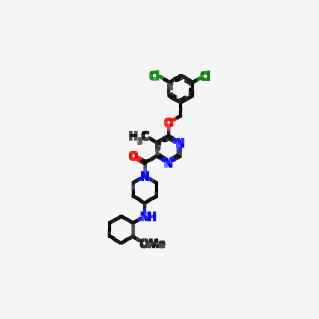 COC1CCCCC1NC1CCN(C(=O)c2ncnc(OCc3cc(Cl)cc(Cl)c3)c2C)CC1